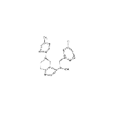 Cc1ccc(N2CCc3ncnc(N(C)Cc4cccc(Cl)c4)c3C2)nc1